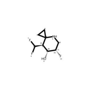 O[C@@H]1[C@@H](C(F)F)C2(CC2)NC[C@@H]1F